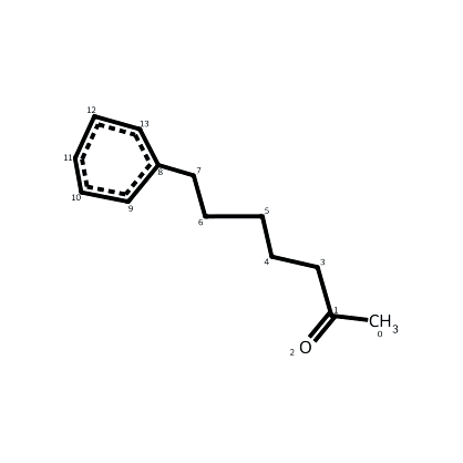 CC(=O)CCCCCc1ccccc1